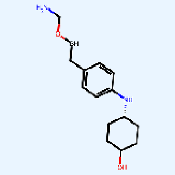 NCOBCc1ccc(N[C@H]2CC[C@H](O)CC2)cc1